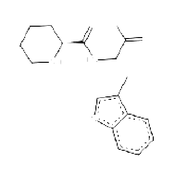 O=C(O)[C@H](Cc1c[nH]c2ccccc12)NC(=O)[C@@H]1CCCCN1